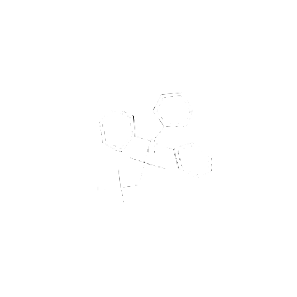 CC(C)(O)CC(C)(C)[PH](c1ccccc1)(c1ccccc1)c1ccccc1